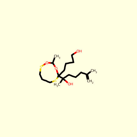 C=C(C)CCCC(C)(O)C1(CCCCO)OC(C)OSCCCS1